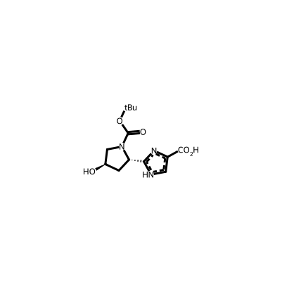 CC(C)(C)OC(=O)N1C[C@H](O)C[C@H]1c1nc(C(=O)O)c[nH]1